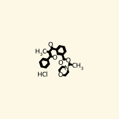 Cc1c(-c2ccccc2)oc2c(C(=O)OC(C)N3CCOCC3)cccc2c1=O.Cl